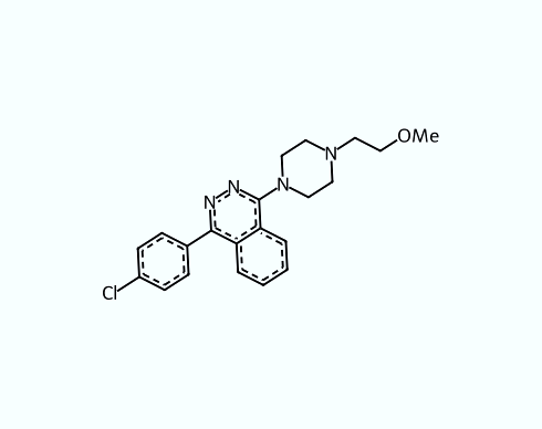 COCCN1CCN(c2nnc(-c3ccc(Cl)cc3)c3ccccc23)CC1